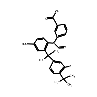 Cc1ccc(N(C=O)c2cccc(C(=O)O)c2)c(C(C)(C)c2ccc(C(C)(C)C)c(F)c2)c1